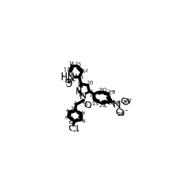 O=C(Cc1ccc(Cl)cc1)N1N=C(C2C=CC=C[NH+]2[O-])CC1c1ccc([N+](=O)[O-])cc1